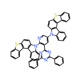 c1ccc(-c2nc(-c3ccccc3)nc(-c3cc(-n4c5ccccc5c5c6c(ccc54)sc4ccccc46)cnc3-n3c4ccccc4c4c5c(ccc43)sc3ccccc35)n2)cc1